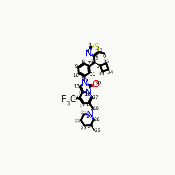 Cc1scnc1[C@H](c1cccc(-n2cc3c(C(F)(F)F)cc(CN4CCC[C@H](C)C4)cn3c2=O)c1)C1CCC1